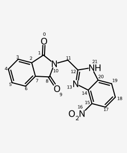 O=C1c2ccccc2C(=O)N1Cc1nc2c([N+](=O)[O-])cccc2[nH]1